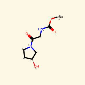 CC(C)(C)OC(=O)NCC(=O)N1CC[C@@H](O)C1